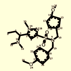 CCC(c1cc(S(=O)(=O)N(Cc2ccc(OC)cc2)Cc2ccc(OC)cc2)nn1C)N(C)C